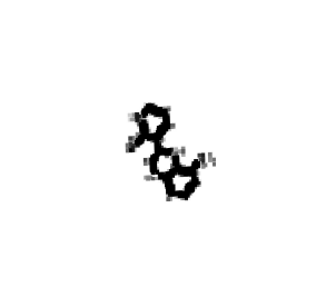 Nc1cccc2c1NC(c1cccnc1Br)CO2